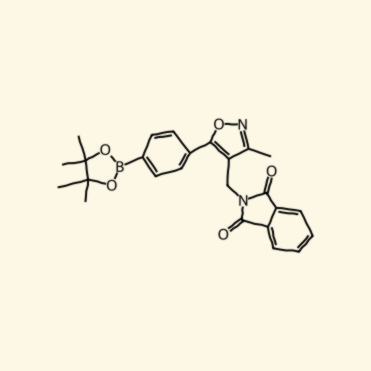 Cc1noc(-c2ccc(B3OC(C)(C)C(C)(C)O3)cc2)c1CN1C(=O)c2ccccc2C1=O